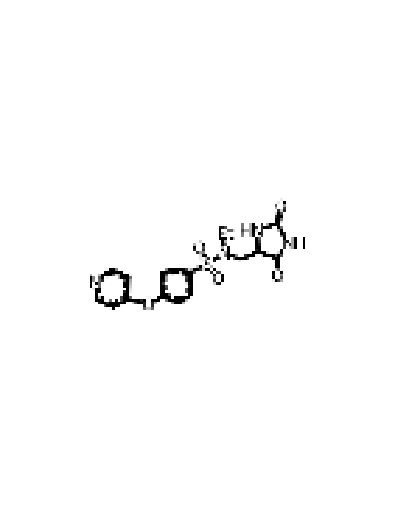 CCN(CC1NC(=O)NC1=O)S(=O)(=O)c1ccc(Oc2ccncc2)cc1